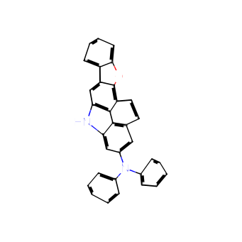 c1ccc(N(c2ccccc2)c2cc3ccc4c5oc6ccccc6c5cc5[nH]c(c2)c3c54)cc1